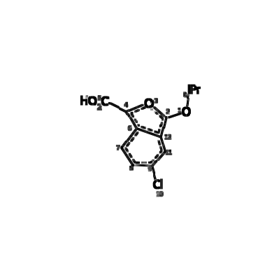 CC(C)Oc1oc(C(=O)O)c2ccc(Cl)cc12